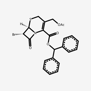 CC(=O)OCC1=C(C(=O)OC(c2ccccc2)c2ccccc2)N2C(=O)[C@H](Br)[C@H]2SC1